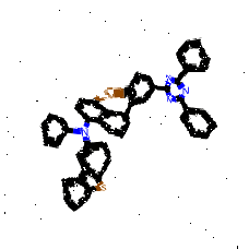 c1ccc(-c2nc(-c3ccccc3)nc(-c3ccc4c(c3)-c3cccc5c(N(c6ccccc6)c6ccc7sc8ccccc8c7c6)ccc(c35)S4)n2)cc1